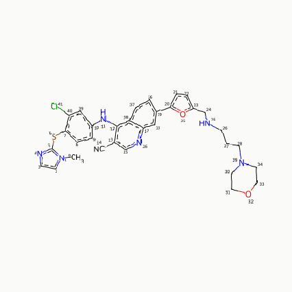 Cn1ccnc1Sc1ccc(Nc2c(C#N)cnc3cc(-c4ccc(CNCCCN5CCOCC5)o4)ccc23)cc1Cl